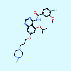 COc1cc(C(=O)Nc2ncnc3cc(OCCCN4CCN(C)CC4)cc(OC(C)C)c23)ccc1Cl